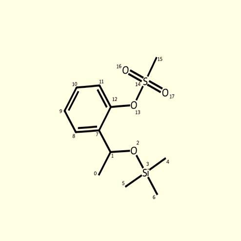 CC(O[Si](C)(C)C)c1ccccc1OS(C)(=O)=O